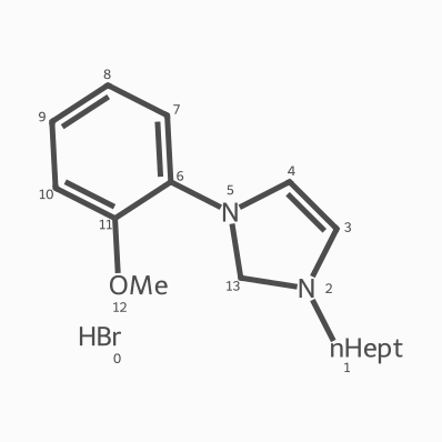 Br.CCCCCCCN1C=CN(c2ccccc2OC)C1